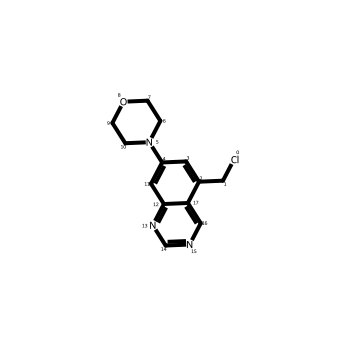 ClCc1cc(N2CCOCC2)cc2ncncc12